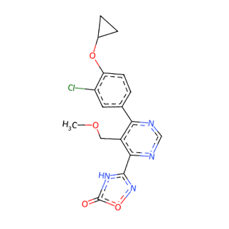 COCc1c(-c2ccc(OC3CC3)c(Cl)c2)ncnc1-c1noc(=O)[nH]1